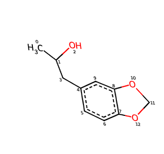 CC(O)Cc1ccc2c(c1)OCO2